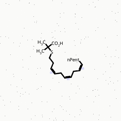 CCCCC/C=C\C/C=C\C/C=C\CCSC(C)(C)C(=O)O